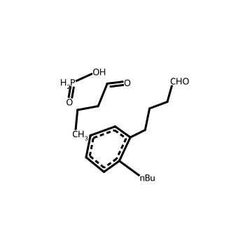 CCCC=O.CCCCc1ccccc1CCCC=O.O=[PH2]O